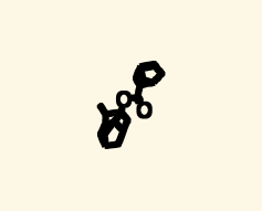 CC1C2CC3CC(C2)CC1(OC(=O)C1CC2=CCC1C2)C3